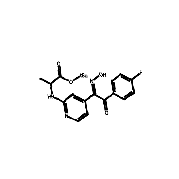 CC(Nc1cc(C(=NO)C(=O)c2ccc(F)cc2)ccn1)C(=O)OC(C)(C)C